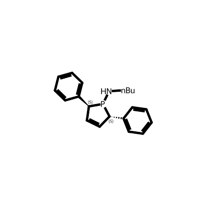 CCCCNP1[C@H](c2ccccc2)C=C[C@H]1c1ccccc1